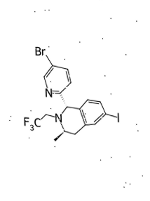 C[C@@H]1Cc2cc(I)ccc2[C@@H](c2ccc(Br)cn2)N1CC(F)(F)F